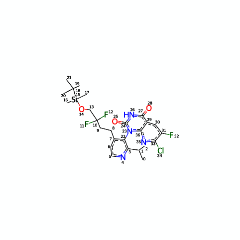 CC(C)c1nccc(CCC(F)(F)CO[Si](C)(C)C(C)(C)C)c1-n1c(=O)[nH]c(=O)c2cc(F)c(Cl)nc21